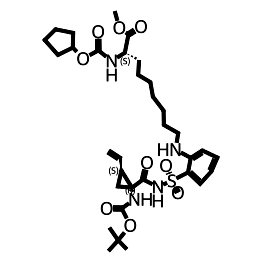 C=C[C@@H]1C[C@]1(NC(=O)OC(C)(C)C)C(=O)NS(=O)(=O)c1ccccc1NCCCCCCC[C@H](NC(=O)OC1CCCC1)C(=O)OC